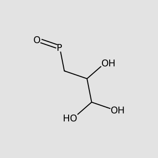 O=PCC(O)C(O)O